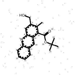 Cc1c(CO)cc2nc3ccccc3cc2c1C(=O)OC(C)(C)C